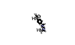 CN/C(C)=N\N=C(/C)[C@H]1CC[C@@H](NC(C)=O)CC1